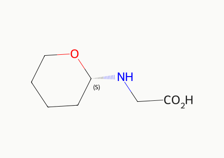 O=C(O)CN[C@@H]1CCCCO1